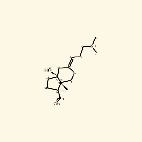 CN(C)CCC=C1CC[C@]2(C)[C@@H](C=O)CC[C@]2(O)C1